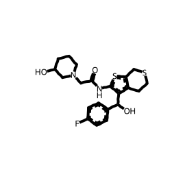 O=C(CN1CCCC(O)C1)Nc1sc2c(c1C(O)c1ccc(F)cc1)CCSC2